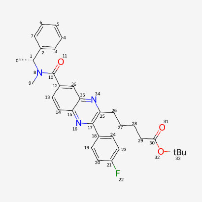 C[C@H](c1ccccc1)N(C)C(=O)c1ccc2nc(-c3ccc(F)cc3)c(CCCCC(=O)OC(C)(C)C)nc2c1